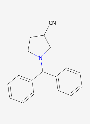 N#CC1CCN(C(c2ccccc2)c2ccccc2)C1